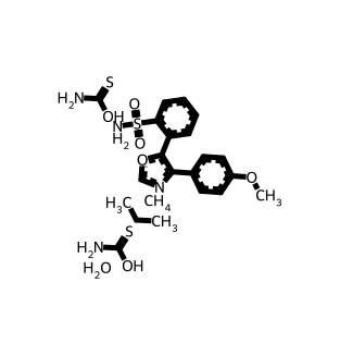 C.CCC.COc1ccc(-c2ncoc2-c2ccccc2S(N)(=O)=O)cc1.NC(O)=S.NC(O)=S.O